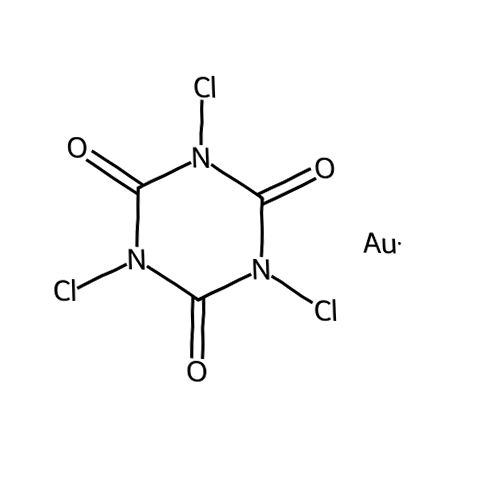 O=c1n(Cl)c(=O)n(Cl)c(=O)n1Cl.[Au]